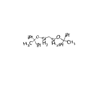 CC(C)C(C)(O[SiH2]C[SiH2]OC(C)(C(C)C)C(C)C)C(C)C